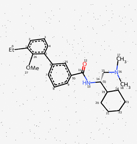 CCc1cccc(-c2cccc(C(=O)N[C@H](CN(C)C)C3CCCCC3)c2)c1OC